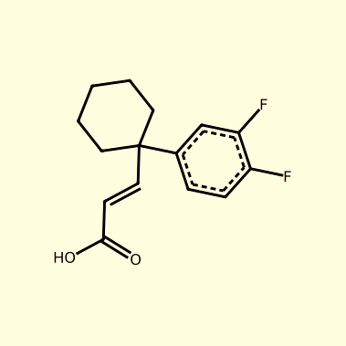 O=C(O)C=CC1(c2ccc(F)c(F)c2)CCCCC1